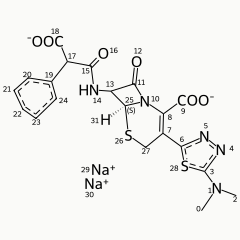 CN(C)c1nnc(C2=C(C(=O)[O-])N3C(=O)C(NC(=O)C(C(=O)[O-])c4ccccc4)[C@@H]3SC2)s1.[Na+].[Na+]